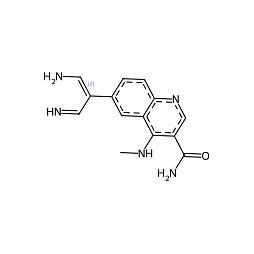 CNc1c(C(N)=O)cnc2ccc(/C(C=N)=C/N)cc12